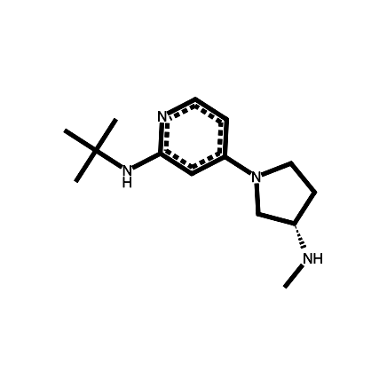 CN[C@H]1CCN(c2ccnc(NC(C)(C)C)c2)C1